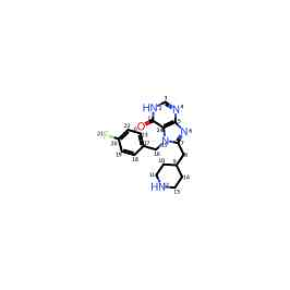 O=c1[nH]cnc2nc(CC3CCNCC3)n(Cc3ccc(F)cc3)c12